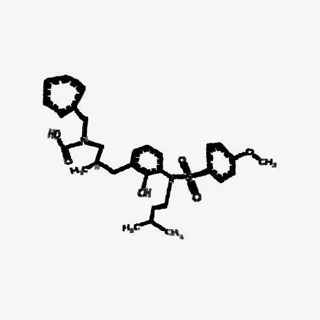 COc1ccc(S(=O)(=O)N(CCC(C)C)c2cccc(C[C@@H](C)CN(Cc3ccccc3)C(=O)O)c2O)cc1